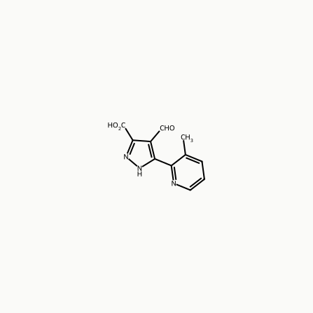 Cc1cccnc1-c1[nH]nc(C(=O)O)c1C=O